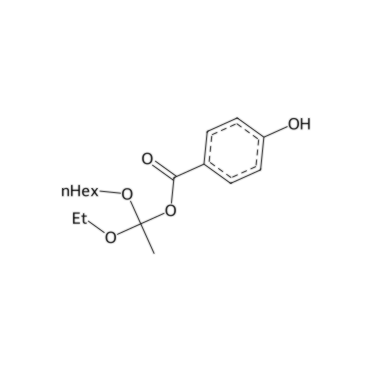 CCCCCCOC(C)(OCC)OC(=O)c1ccc(O)cc1